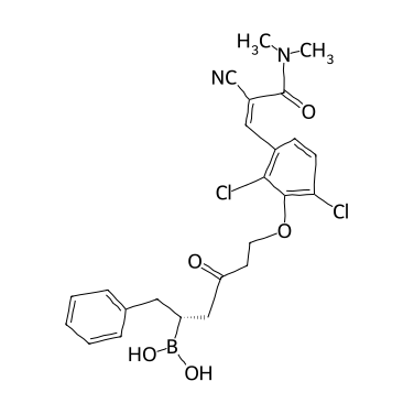 CN(C)C(=O)C(C#N)=Cc1ccc(Cl)c(OCCC(=O)C[C@@H](Cc2ccccc2)B(O)O)c1Cl